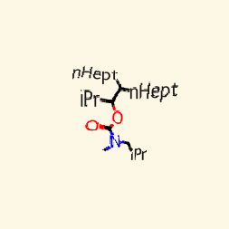 CCCCCCCC(CCCCCCC)C(OC(=O)N(C)CC(C)C)C(C)C